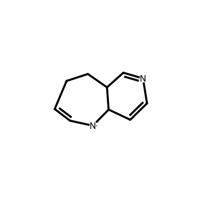 C1=C[N]C2C=CN=CC2CC1